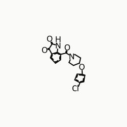 O=C1Nc2c(cccc2C(=O)N2CCC(Oc3ccc(Cl)cc3)CC2)C1=O